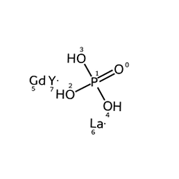 O=P(O)(O)O.[Gd].[La].[Y]